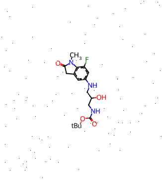 CN1C(=O)Cc2cc(NCC(O)CNC(=O)OC(C)(C)C)cc(F)c21